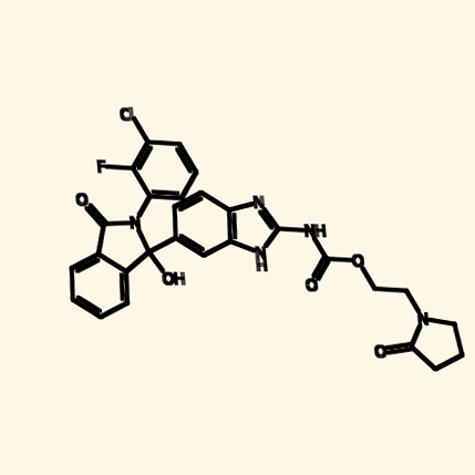 O=C(Nc1nc2ccc(C3(O)c4ccccc4C(=O)N3c3cccc(Cl)c3F)cc2[nH]1)OCCN1CCCC1=O